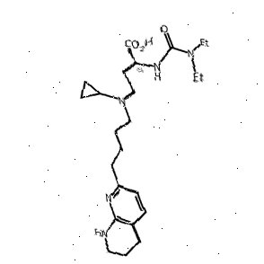 CCN(CC)C(=O)N[C@@H](CCN(CCCCc1ccc2c(n1)NCCC2)C1CC1)C(=O)O